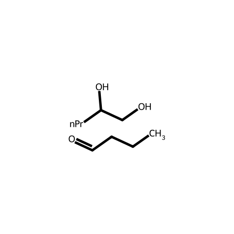 CCCC(O)CO.CCCC=O